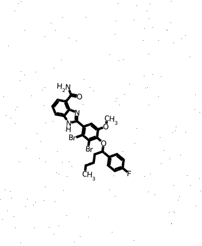 CCCCC(Oc1c(OC)cc(-c2nc3c(C(N)=O)cccc3[nH]2)c(Br)c1Br)c1ccc(F)cc1